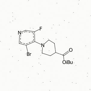 CC(C)COC(=O)C1CCN(c2c(F)cncc2Br)CC1